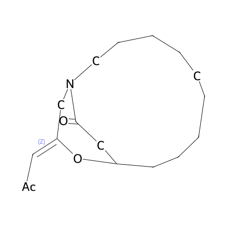 CC(=O)/C=C1/CN2CCCCCCCCCC(CC2=O)O1